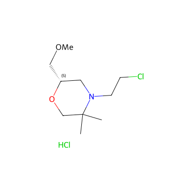 COC[C@@H]1CN(CCCl)C(C)(C)CO1.Cl